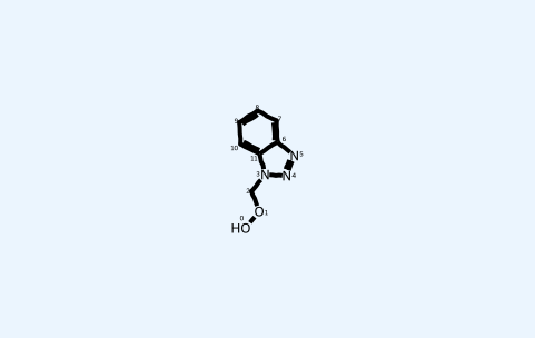 OOCn1nnc2ccccc21